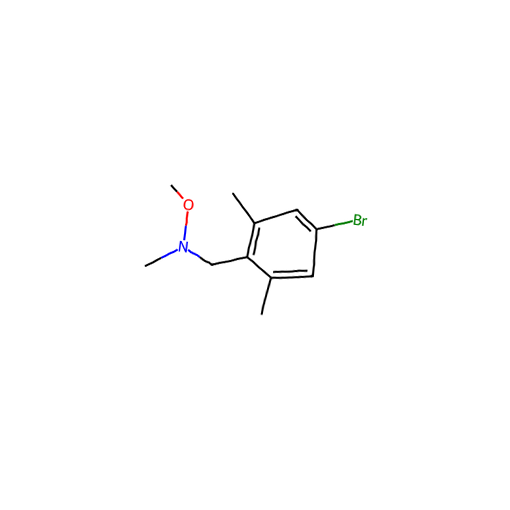 CON(C)Cc1c(C)cc(Br)cc1C